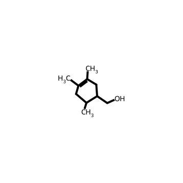 CC1=C(C)CC(CO)C(C)C1